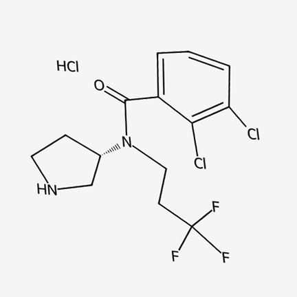 Cl.O=C(c1cccc(Cl)c1Cl)N(CCC(F)(F)F)[C@H]1CCNC1